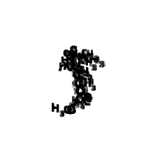 COCCCOc1cc(C[C@@H](C[C@H](N)[C@@H](O)CNc2c(NCC(C)(C)C)c(=O)c2=O)C(C)C)ccc1OC